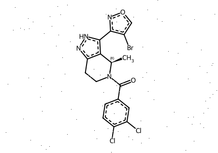 C[C@@H]1c2c(n[nH]c2-c2nocc2Br)CCN1C(=O)c1ccc(Cl)c(Cl)c1